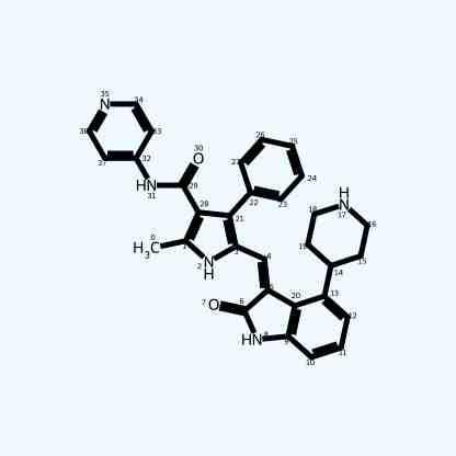 Cc1[nH]c(C=C2C(=O)Nc3cccc(C4CCNCC4)c32)c(-c2ccccc2)c1C(=O)Nc1ccncc1